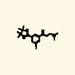 CN(C)CCNc1cc(I)cc(B2OC(C)(C)C(C)(C)O2)c1